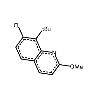 COc1ccc2ccc(Cl)c(C(C)(C)C)c2n1